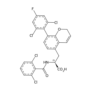 O=C(N[C@@H](Cc1ccc(-c2c(Cl)cc(F)cc2Cl)c2c1C=CCO2)C(=O)O)c1c(Cl)cccc1Cl